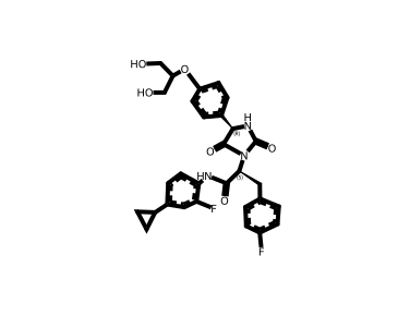 O=C(Nc1ccc(C2CC2)cc1F)[C@H](Cc1ccc(F)cc1)N1C(=O)N[C@H](c2ccc(OC(CO)CO)cc2)C1=O